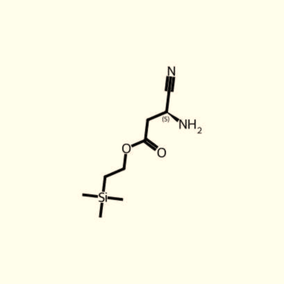 C[Si](C)(C)CCOC(=O)C[C@H](N)C#N